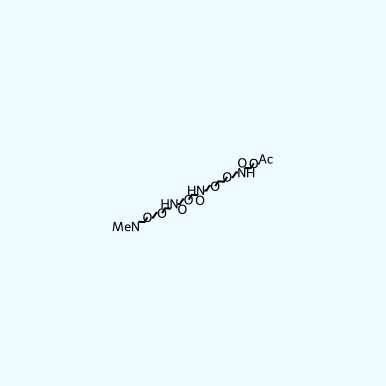 CNCCOCCOCCNC(=O)COCC(=O)NCCOCCOCCNC(=O)COCC(C)=O